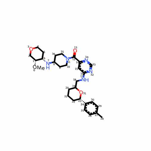 CO[C@@H]1COCC[C@@H]1NC1CCN(C(=O)c2cc(NCC3CCC[C@@H](c4ccc(C)cc4)O3)ncn2)CC1